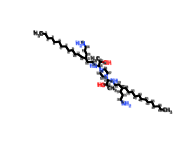 CCCCCCCCCCCCCC(CCCN)CCNC(C(C)O)N1CCN(C(NCCC(CCCN)CCCCCCCCCCCCC)C(C)O)CC1